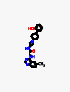 Cc1ccc2ncnc(NCC(=O)NC3CN(C4CCC(c5ccccc5O)CC4)C3)c2c1